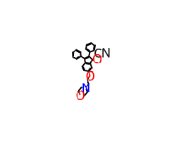 N#Cc1ccccc1C1=C(c2ccccc2)c2ccc(OCCN3CCOCC3)cc2C1=O